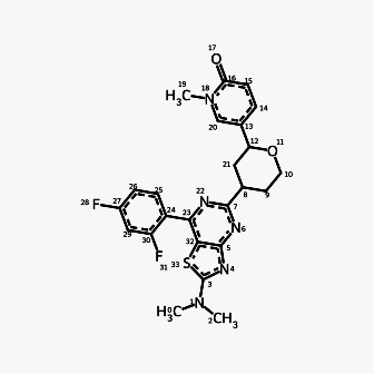 CN(C)c1nc2nc(C3CCOC(c4ccc(=O)n(C)c4)C3)nc(-c3ccc(F)cc3F)c2s1